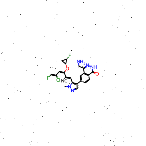 Cn1ncc(-c2ccc3c(=O)[nH]nc(CN)c3c2)c1/C=C(C#N)/C(=C\C(Cl)=C\F)O[C@H]1C[C@H]1F